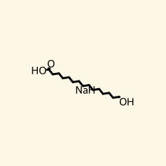 O=C(O)CCCCCCCCCCCCCCO.[NaH]